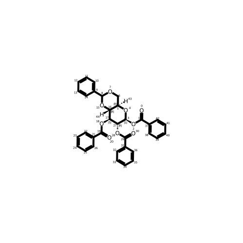 O=C(O[C@@H]1O[C@@H]2COC(c3ccccc3)O[C@H]2[C@H](OC(=O)c2ccccc2)[C@H]1OC(=O)c1ccccc1)c1ccccc1